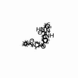 O=C(CN1CCN(C(=O)c2ccc3[nH]c(-c4nc5cscc5[nH]c4=O)cc3c2)CC1)N1CCCC1